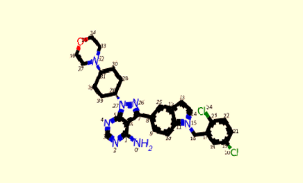 Nc1ncnc2c1c(-c1ccc3c(ccn3Cc3cc(Cl)ccc3Cl)c1)nn2[C@H]1CC[C@H](N2CCOCC2)CC1